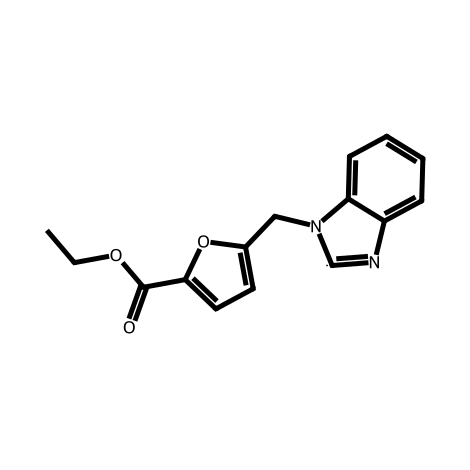 CCOC(=O)c1ccc(Cn2[c]nc3ccccc32)o1